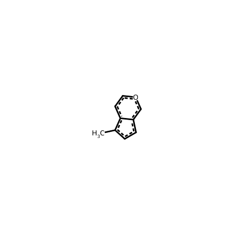 Cc1ccc2coccc1-2